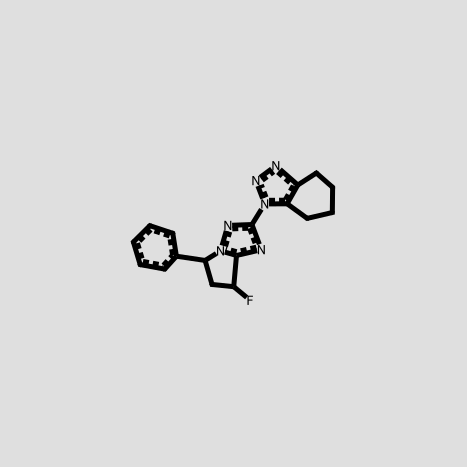 FC1CC(c2ccccc2)n2nc(-n3nnc4c3CCCC4)nc21